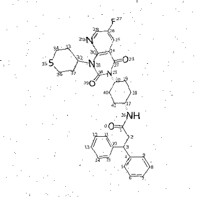 O=C(CC(c1ccccc1)c1ccccc1)N[C@H]1CC[C@@H](n2c(=O)c3cc(F)cnc3n(C3CCSCC3)c2=O)CC1